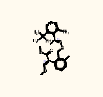 CO/C=C(/C(=O)OC)c1cccc(C)c1CO/N=C(\C)c1c(P)cccc1C(P)(P)P